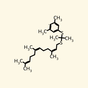 CC(C)=CCCC(C)=CCCC(C)=CCSC(C)(C)Sc1cc(C)[c]c(C)c1